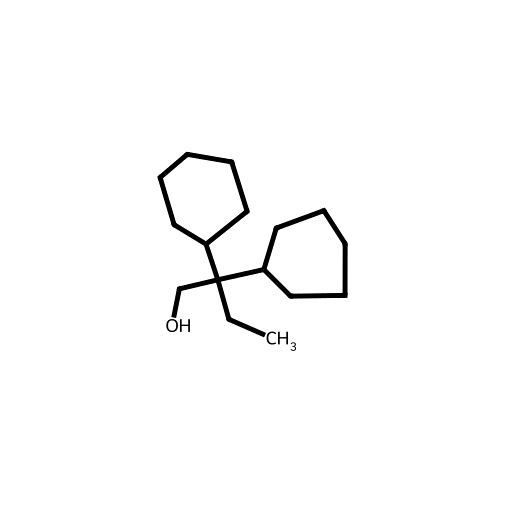 CCC(CO)(C1CCCCC1)C1CCCCC1